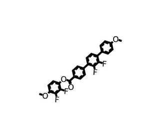 COc1ccc(-c2ccc(-c3ccc(C(=O)Oc4ccc(OC)c(F)c4F)cc3)c(F)c2F)cc1